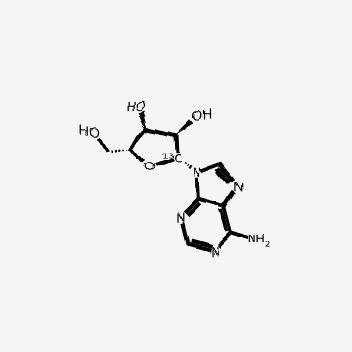 Nc1ncnc2c1ncn2[13C@@H]1O[C@H](CO)[C@@H](O)[C@H]1O